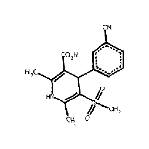 CC1=C(C(=O)O)C(c2cccc(C#N)c2)C(S(C)(=O)=O)=C(C)N1